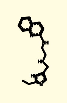 CCc1ncc(CNCCNc2ccc3[c]cccc3n2)[nH]1